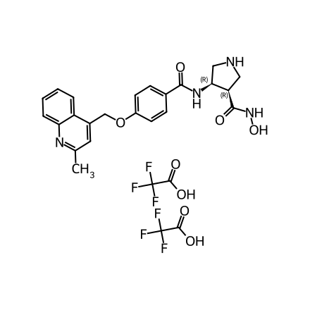 Cc1cc(COc2ccc(C(=O)N[C@H]3CNC[C@H]3C(=O)NO)cc2)c2ccccc2n1.O=C(O)C(F)(F)F.O=C(O)C(F)(F)F